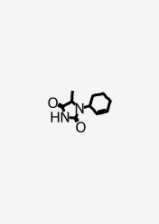 CC1C(=O)NC(=O)N1C1C=CCCC1